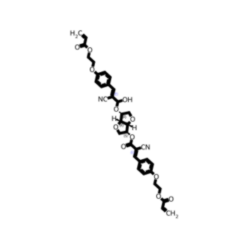 C=CC(=O)OCCOc1ccc(/C=C(\C#N)C(=O)O[C@H]2CO[C@H]3[C@@H]2OC[C@H]3OC(O)/C(C#N)=C/c2ccc(OCCOC(=O)C=C)cc2)cc1